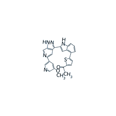 COc1cncc(-c2cc3c(-c4cc5c(-c6ccc(C(C)=O)s6)cccc5[nH]4)n[nH]c3cn2)c1